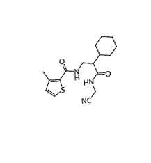 Cc1ccsc1C(=O)NCC(C(=O)NCC#N)C1CCCCC1